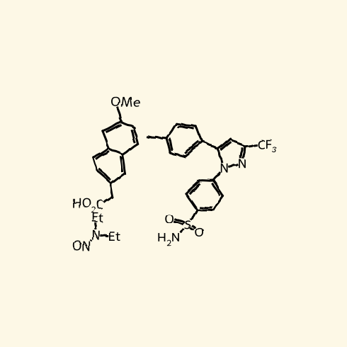 CCN(CC)N=O.COc1ccc2cc(CC(=O)O)ccc2c1.Cc1ccc(-c2cc(C(F)(F)F)nn2-c2ccc(S(N)(=O)=O)cc2)cc1